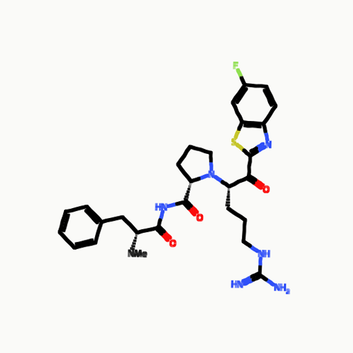 CN[C@H](Cc1ccccc1)C(=O)NC(=O)[C@@H]1CCCN1[C@@H](CCCNC(=N)N)C(=O)c1nc2ccc(F)cc2s1